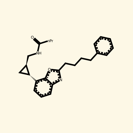 CCCC(=O)NC[C@@H]1C[C@H]1c1cccc2nc(CCCCc3ccccc3)oc12